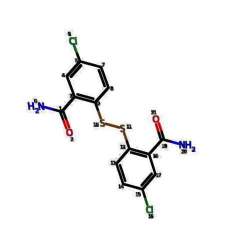 NC(=O)c1cc(Cl)ccc1SSc1ccc(Cl)cc1C(N)=O